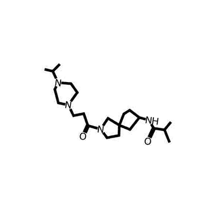 CC(C)C(=O)NC1CCC2(CCN(C(=O)CCN3CCN(C(C)C)CC3)C2)C1